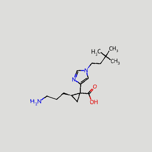 CC(C)(C)CCn1cnc(C2(C(=O)O)C[C@H]2CCCN)c1